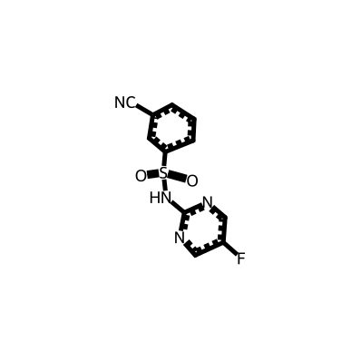 N#Cc1cccc(S(=O)(=O)Nc2ncc(F)cn2)c1